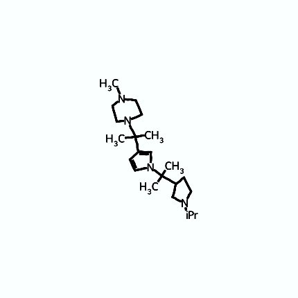 CC(C)N1CCC(C(C)(C)n2ccc(C(C)(C)N3CCN(C)CC3)c2)C1